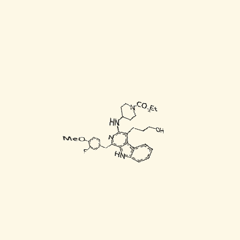 CCOC(=O)N1CCC(Nc2nc(Cc3ccc(OC)c(F)c3)c3[nH]c4ccccc4c3c2CCCO)CC1